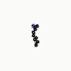 CC1(c2cccc(-c3cccc4c(-c5cccc6c5sc5ccccc56)cccc34)c2)C=C(c2ccc3c4ccccc4c4nccnc4c3c2)C=CC1